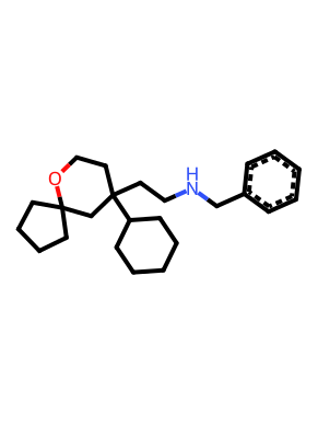 c1ccc(CNCCC2(C3CCCCC3)CCOC3(CCCC3)C2)cc1